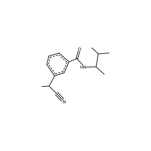 CC(C#N)c1cccc(C(=O)NC(C)C(C)C)c1